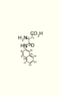 N[C@@H](CC(=O)O)C(=O)Nc1ccc2ccccc2c1